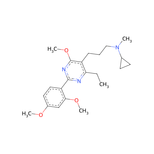 CCc1nc(-c2ccc(OC)cc2OC)nc(OC)c1CCCN(C)C1CC1